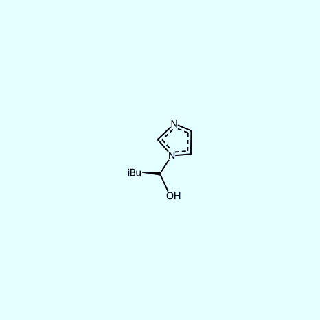 CC[C@H](C)C(O)n1ccnc1